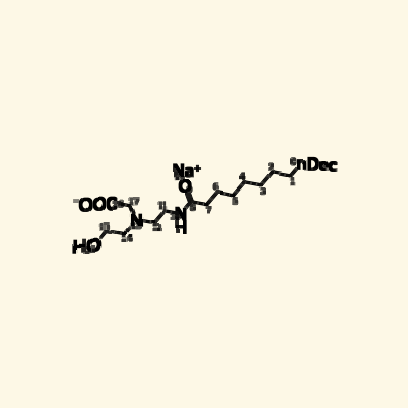 CCCCCCCCCCCCCCCCCC(=O)NCCN(CCO)CC(=O)[O-].[Na+]